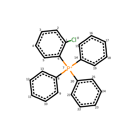 Clc1ccccc1[P+](c1ccccc1)(c1ccccc1)c1ccccc1